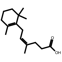 CC(=CCC1=C(C)CCCC1(C)C)CCC(=O)O